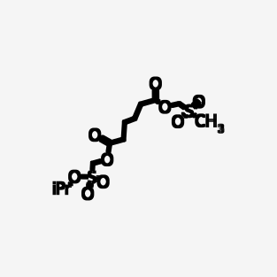 CC(C)OS(=O)(=O)COC(=O)CCCCC(=O)OCS(C)(=O)=O